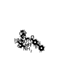 C[C@@H](NC(=O)[C@@H]1CC2(CN1C(=O)CNC(=O)c1ccc(C(F)(F)c3ccccc3)cc1)OCCO2)c1cc(C(=N)N)cs1